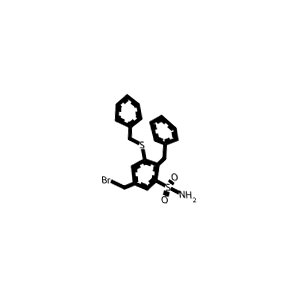 NS(=O)(=O)c1cc(CBr)cc(SCc2ccccc2)c1Cc1ccccc1